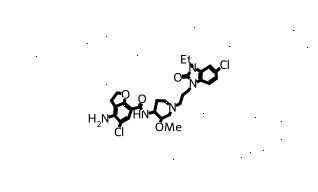 CCn1c(=O)n(CCCN2CCC(NC(=O)c3cc(Cl)c(N)c4c3OCC4)C(OC)C2)c2ccc(Cl)cc21